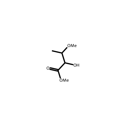 COC(=O)C(O)C(C)OC